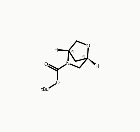 CC(C)(C)OC(=O)N1C[C@@H]2C[C@H]1CO2